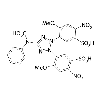 COc1cc([N+](=O)[O-])c(S(=O)(=O)O)cc1-n1nc(N(C(=O)O)c2ccccc2)n[n+]1-c1cc(S(=O)(=O)O)c([N+](=O)[O-])cc1OC